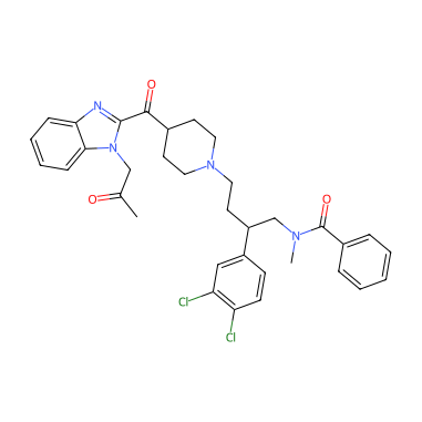 CC(=O)Cn1c(C(=O)C2CCN(CCC(CN(C)C(=O)c3ccccc3)c3ccc(Cl)c(Cl)c3)CC2)nc2ccccc21